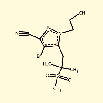 CCCn1nc(C#N)c(Br)c1CC(C)(C)S(C)(=O)=O